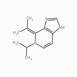 CC(C)=C1c2nc[nH]c2C=CN1C(C)C